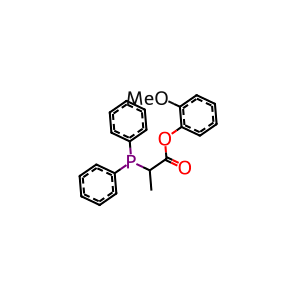 COc1ccccc1OC(=O)C(C)P(c1ccccc1)c1ccccc1